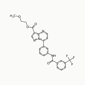 COCCOC(=O)c1cnn2c(-c3cccc(NC(=O)c4cccc(C(F)(F)F)c4)c3)ccnc12